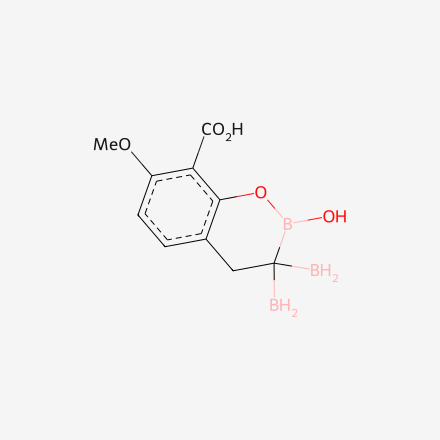 BC1(B)Cc2ccc(OC)c(C(=O)O)c2OB1O